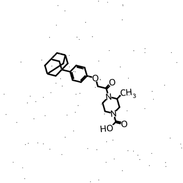 CC1CN(C(=O)O)CCN1C(=O)COc1ccc(C23CC4CC(CC(C4)C2)C3)cc1